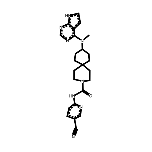 CN(c1ncnc2[nH]ccc12)C1CCC2(CC1)CCN(C(=O)Nc1ccc(C#N)cn1)CC2